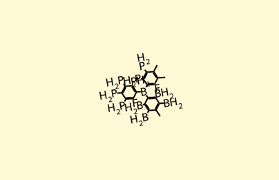 Bc1c(B)c(B(c2c(F)c(C)c(C)c(P)c2P)c2c(F)c(P)c(P)c(P)c2P)c(B)c(B)c1C